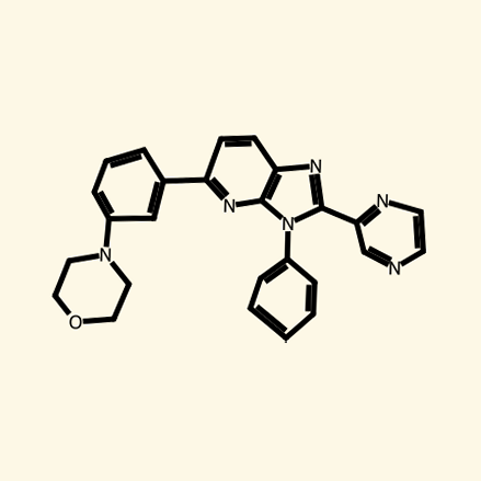 [c]1ccc(-n2c(-c3cnccn3)nc3ccc(-c4cccc(N5CCOCC5)c4)nc32)cc1